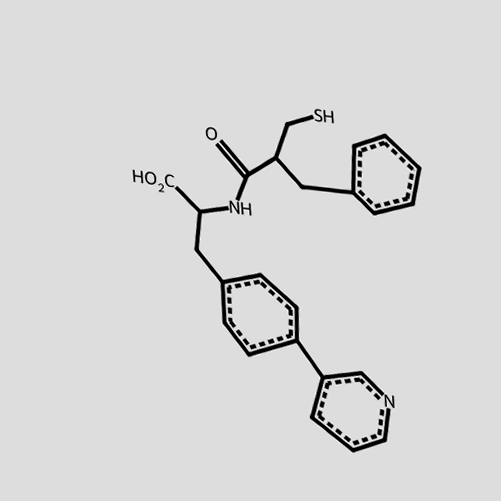 O=C(NC(Cc1ccc(-c2cccnc2)cc1)C(=O)O)C(CS)Cc1ccccc1